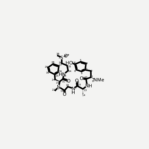 CN[C@@H](Cc1ccc(O)cc1)C(=O)N[C@H](C)C(=O)NCC(=O)N(C)[C@@H](Cc1ccccc1)C(=O)NCCC[S+](C)[O-]